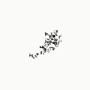 CCO[C@H]1CC[C@@]2(CO)C(=CC[C@@H]3[C@@H]2CC[C@]2(C)C(=O)CC[C@@H]32)C1